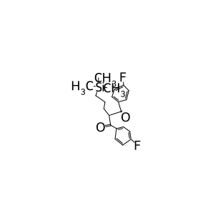 C[Si](C)(C)CCCC(C(=O)c1ccc(F)cc1)C(=O)c1ccc(F)cc1